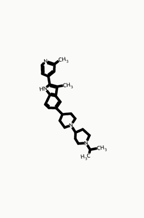 Cc1cc(-c2[nH]c3ccc(C4CCN(C5CCN(C(C)C)CC5)CC4)cc3c2C)ccn1